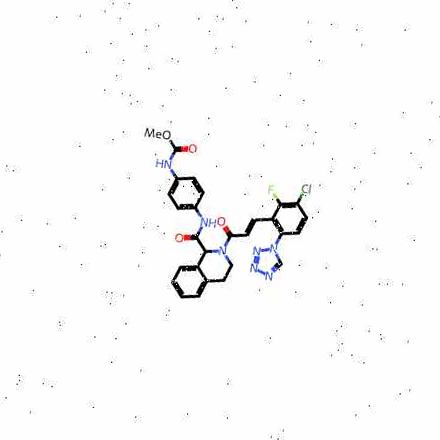 COC(=O)Nc1ccc(NC(=O)C2c3ccccc3CCN2C(=O)/C=C/c2c(-n3cnnn3)ccc(Cl)c2F)cc1